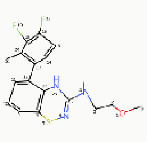 COCCNC1=NSc2cccc(-c3ccc(F)c(F)c3C)c2N1